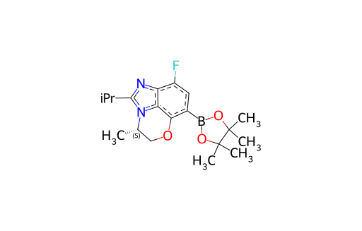 CC(C)c1nc2c(F)cc(B3OC(C)(C)C(C)(C)O3)c3c2n1[C@@H](C)CO3